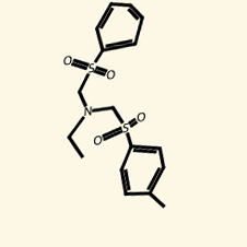 CCN(CS(=O)(=O)c1ccccc1)CS(=O)(=O)c1ccc(C)cc1